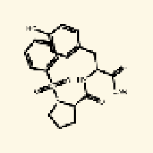 COC(=O)[C@H](Cc1ccc(O)cc1)NC(=O)[C@H]1CCCN1S(=O)(=O)c1ccccc1